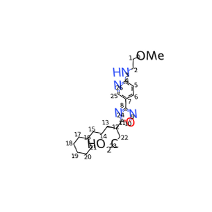 COCCNc1ccc(-c2noc([C@H](CCCC3CCCCC3)CC(=O)O)n2)cn1